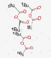 CC(C)(C)C(=O)OC(=O)C(C)(C)C.CC(C)(C)C(=O)OC(=O)C(C)(C)C.CCCCC(=O)OC(=O)CCCC